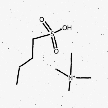 CCCCS(=O)(=O)O.C[N+](C)(C)C